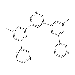 Cc1cc(-c2cccnc2)cc(-c2cncc(-c3cc(C)cc(-c4cccnc4)c3)c2)c1